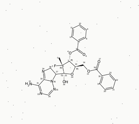 C[C@@]1(F)[C@H](OC(=O)c2ccccc2)[C@@H](COC(=O)c2ccccc2)O[C@@]1(O)C1CN=C2C(N)=NC=NN21